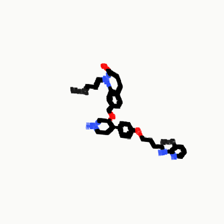 COCCCN1C(=O)CCc2ccc(CO[C@H]3CNCC[C@@H]3c3ccc(OCCCCNc4ncccc4OC)cc3)cc21